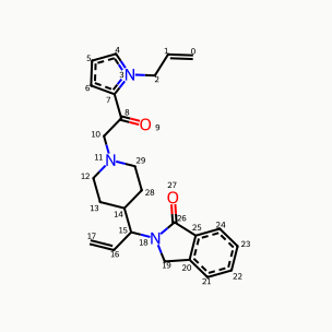 C=CCn1cccc1C(=O)CN1CCC(C(C=C)N2Cc3ccccc3C2=O)CC1